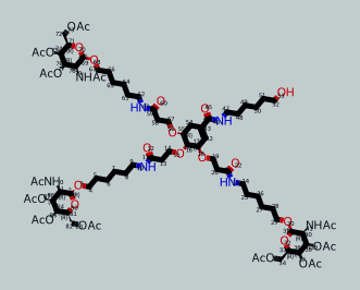 CC(=O)N[C@H]1[C@H](OCCCCCCNC(=O)CCO[C@@H]2[C@H](OCCC(=O)NCCCCCCO[C@@H]3O[C@H](COC(C)=O)[C@H](OC(C)=O)[C@H](OC(C)=O)[C@H]3NC(C)=O)C=C(C(=O)NCCCCCCO)C[C@H]2OCCC(=O)NCCCCCCO[C@@H]2O[C@H](COC(C)=O)[C@H](OC(C)=O)[C@H](OC(C)=O)[C@H]2NC(C)=O)O[C@H](COC(C)=O)[C@H](OC(C)=O)[C@@H]1OC(C)=O